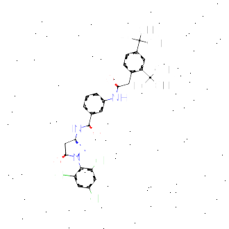 CCC(C)(C)c1ccc(CC(=O)Nc2cccc(C(=O)NC3=NN(c4c(Cl)cc(Cl)cc4Cl)C(=O)C3)c2)c(C(C)(C)CC)c1